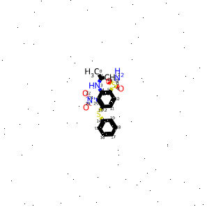 CC(C)Nc1c(S(N)(=O)=O)ccc(Sc2ccccc2)c1[N+](=O)[O-]